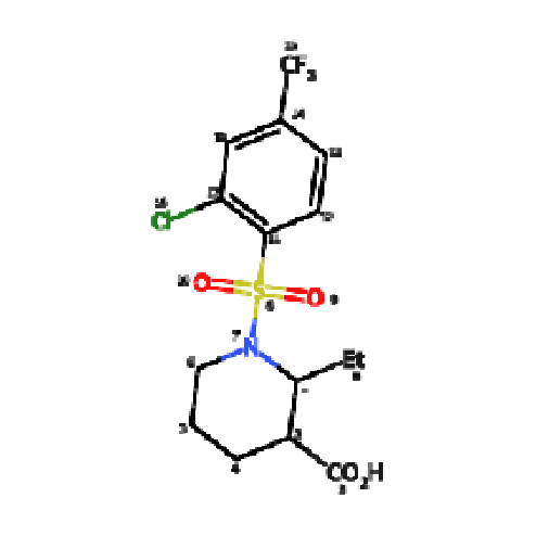 CCC1C(C(=O)O)CCCN1S(=O)(=O)c1ccc(C(F)(F)F)cc1Cl